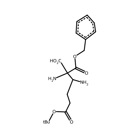 CC(C)(C)OC(=O)CCC(N)C(N)(C(=O)O)C(=O)OCc1ccccc1